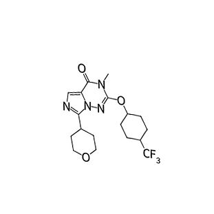 Cn1c(OC2CCC(C(F)(F)F)CC2)nn2c(C3CCOCC3)ncc2c1=O